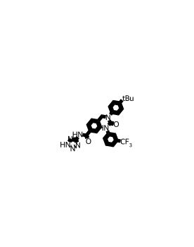 CC(C)(C)c1ccc(N(Cc2ccc(C(=O)Nc3nn[nH]n3)cc2)C(=O)Nc2cccc(C(F)(F)F)c2)cc1